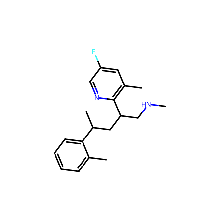 CNCC(CC(C)c1ccccc1C)c1ncc(F)cc1C